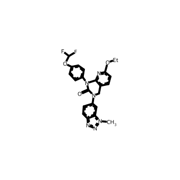 CCOc1ccc2c(n1)N(c1ccc(OC(F)F)cc1)C(=O)N(c1ccc3nnn(C)c3c1)C2